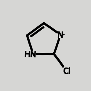 ClC1[N]C=CN1